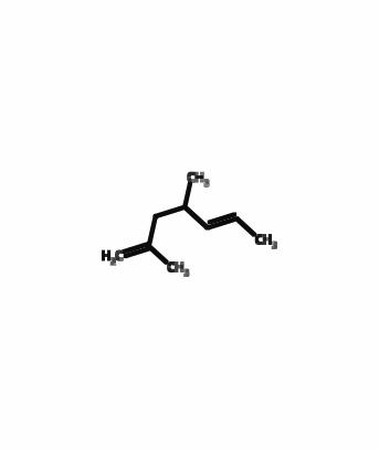 C=C(C)CC(C)C=CC